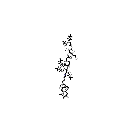 C=C(O)[C@H](C)CC1CC[C@@H]2O[C@@H](CCC/C=C/[C@H](O[Si](C)(C)C(C)(C)C)[C@@H]3O[C@H]4CCC(CC(=O)C[C@H]5[C@H](CC=O)OC(C[C@@H](CO[Si](C)(C)C(C)(C)C)O[Si](C)(C)C(C)(C)C)[C@@H]5OC)O[C@@H]4C(O[Si](C)(C)C(C)(C)C)C3O[Si](C)(C)C(C)(C)C)CC2(CI)O1